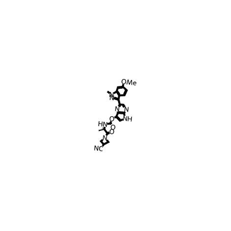 COc1ccc2c(-c3cnc4[nH]cc(OC(=O)N[C@H](C)C(=O)N5CC(C#N)C5)c4n3)nn(C)c2c1